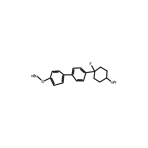 CCCCOc1ccc(-c2ccc(C3(F)CCC(CCC)CC3)cc2)cc1